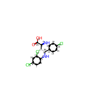 N=C(C[C@@H](Nc1ccc(Cl)cc1Cl)c1ccc(Cl)cc1)C(=O)O